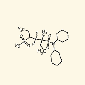 CCC(C(F)(F)C(C)(CC)S(=O)(=O)N(C1CCCCC1)C1CCCCC1)S(=O)(=O)O